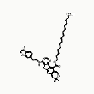 CC1(C)Cc2nc3sc4c(NCCc5ccc6[nH]cnc6c5)ncnc4c3c(C(=O)OCCCCCCCCCCCCCCCC(=O)O)c2CO1